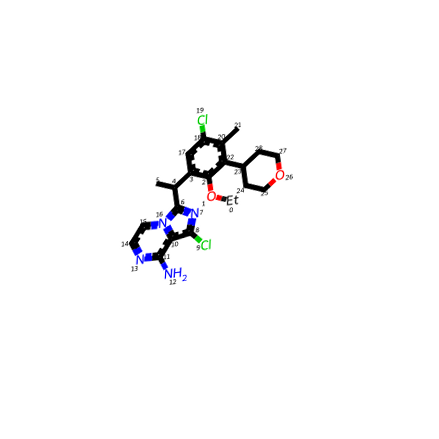 CCOc1c(C(C)c2nc(Cl)c3c(N)nccn23)cc(Cl)c(C)c1C1CCOCC1